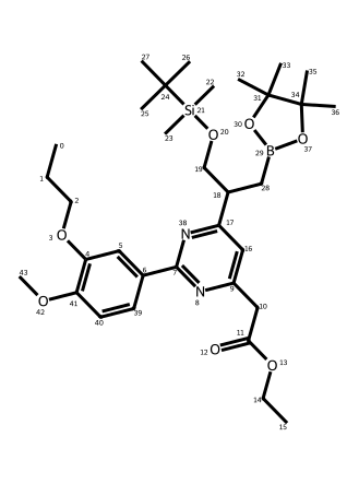 CCCOc1cc(-c2nc(CC(=O)OCC)cc(C(CO[Si](C)(C)C(C)(C)C)CB3OC(C)(C)C(C)(C)O3)n2)ccc1OC